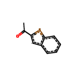 CC(=O)c1[c]c2ccccc2s1